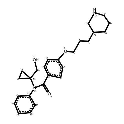 O=C(c1ccc(OCCCC2CCCNC2)cc1)N(c1ccccc1)C1(CO)CC1